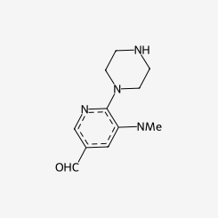 CNc1cc(C=O)cnc1N1CCNCC1